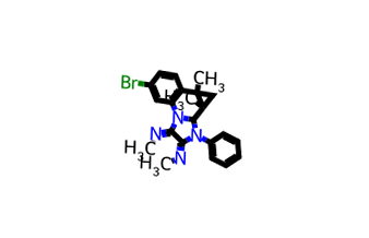 C/N=C1\C(=N/C)N2c3cc(Br)ccc3C3(C)CC3(C)C2N1c1ccccc1